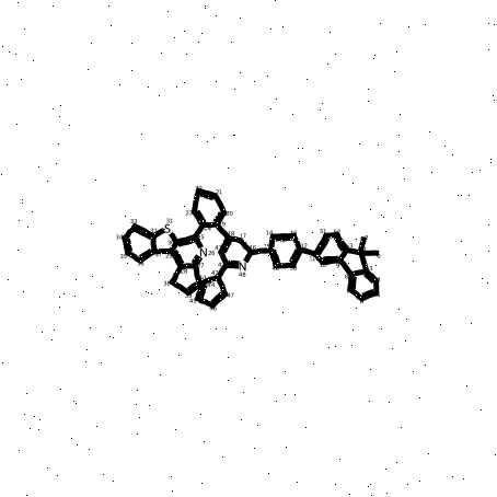 CC1(C)c2ccccc2-c2cc(-c3ccc(C4CC(c5ccccc5-c5nc6c(c7c5sc5ccccc57)CC=C6)=CC(C5C=CC=C5)=N4)cc3)ccc21